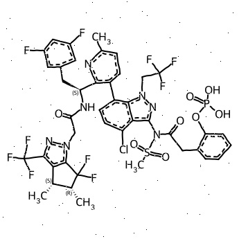 Cc1ccc(-c2ccc(Cl)c3c(N(C(=O)Cc4ccccc4OP(=O)(O)O)S(C)(=O)=O)nn(CC(F)(F)F)c23)c([C@H](Cc2cc(F)cc(F)c2)NC(=O)Cn2nc(C(F)(F)F)c3c2C(F)(F)[C@H](C)[C@@H]3C)n1